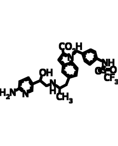 CC(Cc1ccc2c(c1)cc(C(=O)O)n2Cc1ccc(NS(=O)(=O)C(F)(F)F)cc1)NCC(O)c1ccc(N)nc1